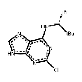 CC(C)[C@@H](Nc1nc(Cl)nc2[nH]cnc12)C(C)(C)C